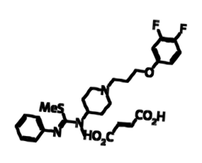 CS/C(=N\c1ccccc1)N(C)C1CCN(CCCOc2ccc(F)c(F)c2)CC1.O=C(O)/C=C/C(=O)O